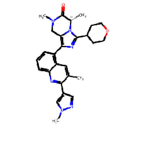 C[C@H]1C(=O)N(C)Cc2c(-c3cccc4nc(-c5cnn(C)c5)c(C(F)(F)F)cc34)nc(C3CCOCC3)n21